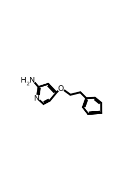 Nc1cc(OCCc2ccccc2)ccn1